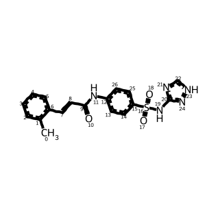 Cc1ccccc1/C=C/C(=O)Nc1ccc(S(=O)(=O)Nc2nc[nH]n2)cc1